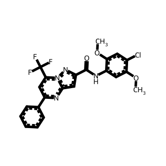 COc1cc(NC(=O)c2cc3nc(-c4ccccc4)cc(C(F)(F)F)n3n2)c(OC)cc1Cl